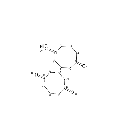 O=C1CCCC(=O)CCC1.O=C1CCCC(=O)CCC1.[Ni]